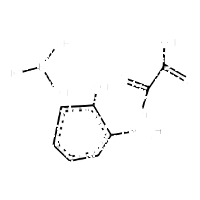 O=C(O)C(=O)O.O=C(O)c1ccccc1O.OB(O)O